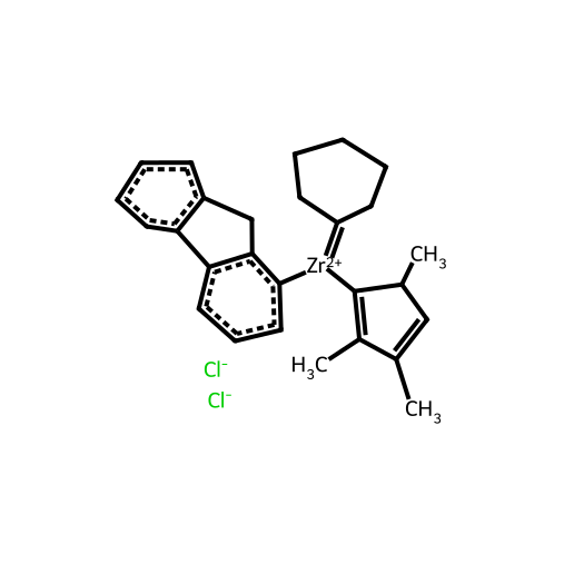 CC1=CC(C)[C]([Zr+2](=[C]2CCCCC2)[c]2cccc3c2Cc2ccccc2-3)=C1C.[Cl-].[Cl-]